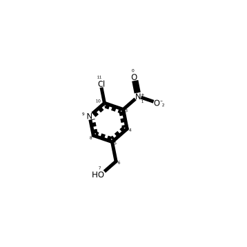 O=[N+]([O-])c1cc(CO)cnc1Cl